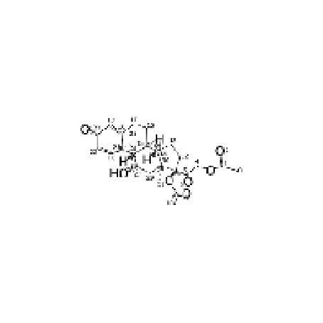 CC(=O)OCC(=O)[C@@]1(OC(C)=O)CC[C@H]2[C@@H]3CCC4=CC(=O)C=C[C@]4(C)[C@H]3[C@@H](O)C[C@@]21C